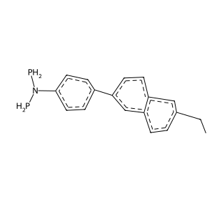 CCc1ccc2cc(-c3ccc(N(P)P)cc3)ccc2c1